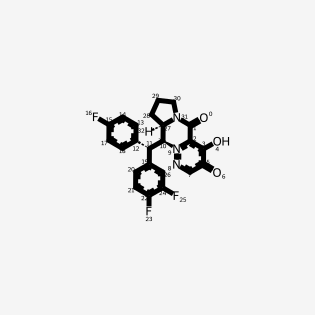 O=C1c2c(O)c(=O)cnn2[C@@H]([C@@H](c2ccc(F)cc2)c2ccc(F)c(F)c2)[C@H]2CCCN12